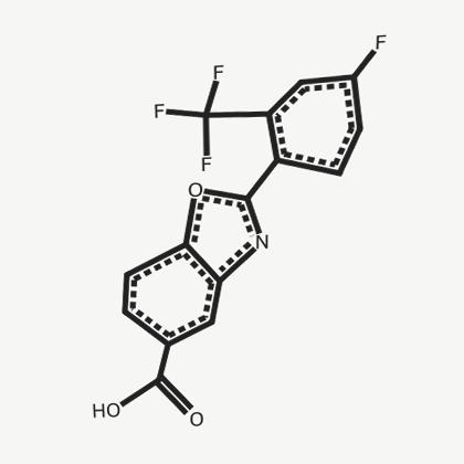 O=C(O)c1ccc2oc(-c3ccc(F)cc3C(F)(F)F)nc2c1